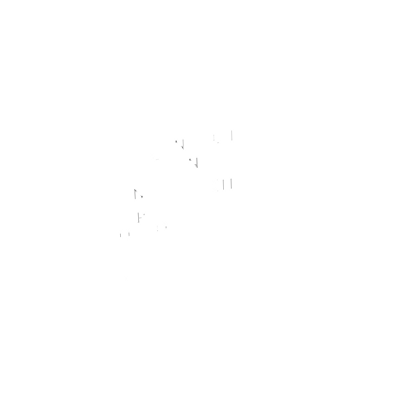 CC(C)(c1ccccc1)[n+]1cc([N-]P2Oc3ccccc3O2)on1